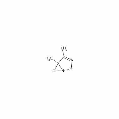 CC1=NSN2OC12C